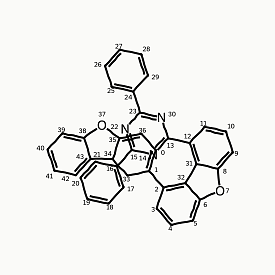 C1=C(c2cccc3oc4cccc(-c5nc(-c6ccccc6)nc(-c6ccccc6)n5)c4c23)CC2C(=C1)Oc1ccccc12